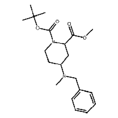 COC(=O)C1CC(N(C)Cc2ccccc2)CCN1C(=O)OC(C)(C)C